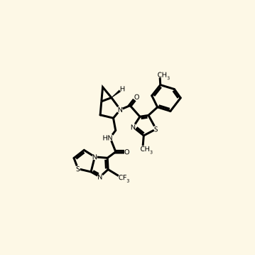 Cc1cccc(-c2sc(C)nc2C(=O)N2C(CNC(=O)c3c(C(F)(F)F)nc4sccn34)CC3C[C@@H]32)c1